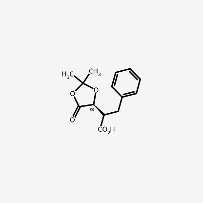 CC1(C)OC(=O)[C@H](C(Cc2ccccc2)C(=O)O)O1